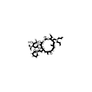 CCCN(CCC)CC1/C=C(C)/C=C\C(=O)C(C)CC(CCN2CCCCC2)C(O[C@@H]2O[C@H](C)[C@@H](O)[C@H](N(C)C)[C@H]2O)C(C)C(O)CC(=O)OC1CC